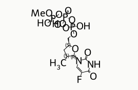 COP(=O)(O)OP(=O)(O)OP(=O)(O)OC[C@@H]1C[C@H](C)[C@H](n2cc(F)c(=O)[nH]c2=O)O1